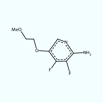 COCCOc1cnc(N)c(F)c1F